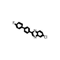 Fc1ccc(-c2ccc(-c3cnc4cc(Cl)ccc4n3)cc2)cc1